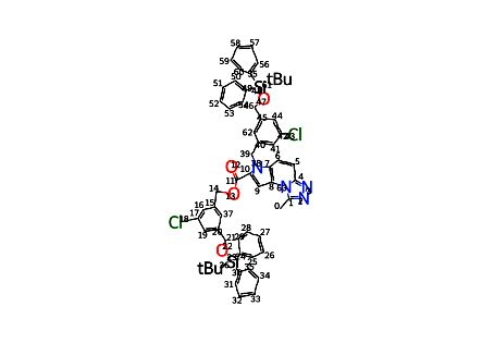 Cc1nnc2ccc3c(cc(C(=O)OCc4cc(Cl)cc(CO[Si](c5ccccc5)(c5ccccc5)C(C)(C)C)c4)n3Cc3cc(Cl)cc(CO[Si](c4ccccc4)(c4ccccc4)C(C)(C)C)c3)n12